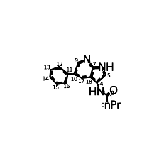 CCCC(=O)Nc1c[nH]c2ncc(-c3ccccc3)cc12